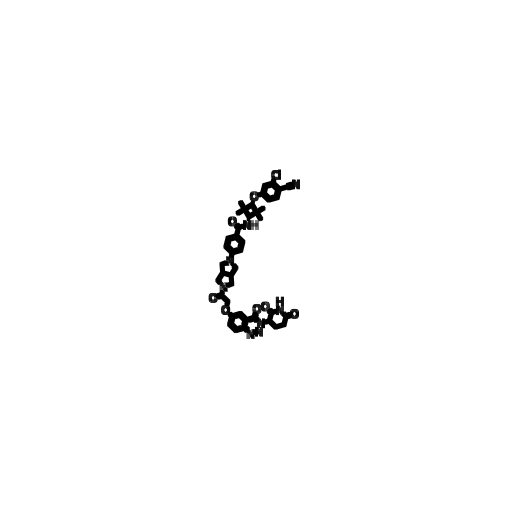 CC1(C)[C@H](NC(=O)c2ccc(N3CC4CN(C(=O)COc5ccc6nnn(C7CCC(=O)NC7=O)c(=O)c6c5)CC4C3)cc2)C(C)(C)[C@H]1Oc1ccc(C#N)c(Cl)c1